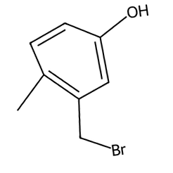 Cc1ccc(O)cc1CBr